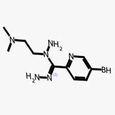 Bc1ccc(/C(=N/N)N(N)CCN(C)C)nc1